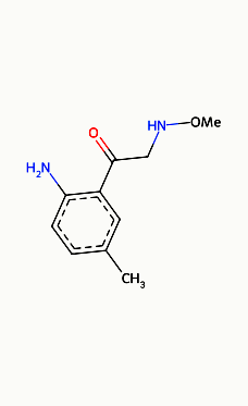 CONCC(=O)c1cc(C)ccc1N